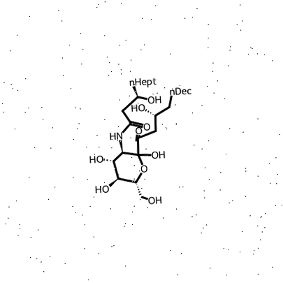 CCCCCCCCCCC[C@@H](O)CC(=O)C1(O)O[C@H](CO)[C@@H](O)[C@H](O)[C@H]1NC(=O)C[C@H](O)CCCCCCC